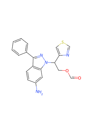 Nc1ccc2c(-c3ccccc3)nn(C(COC=O)c3cscn3)c2c1